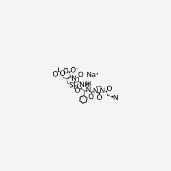 CC(=O)OCC1=C(C(=O)[O-])N2C(=O)C(NC(=O)C(NC(=O)N3CCN(C(=O)CC#N)C3=O)c3ccccc3)[C@@H]2SC1.[Na+]